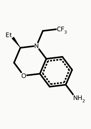 CC[C@@H]1COc2cc(N)ccc2N1CC(F)(F)F